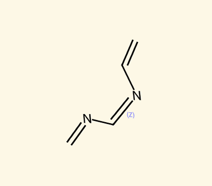 C=C/N=C\N=C